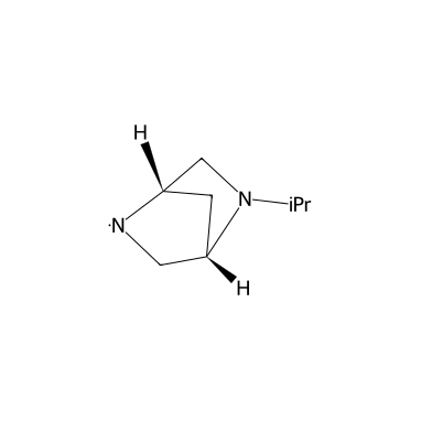 CC(C)N1C[C@@H]2C[C@H]1C[N]2